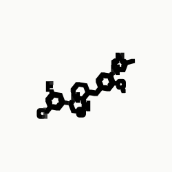 COc1cc(/C=C2\CCCN3C2=NOC[C@H]3c2cc(F)cc(Cl)c2)ccc1-n1cnc(C)c1